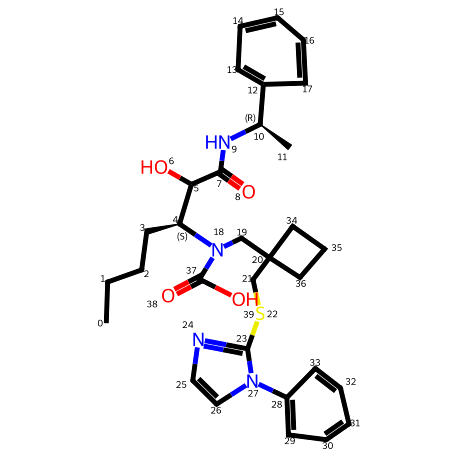 CCCC[C@@H](C(O)C(=O)N[C@H](C)c1ccccc1)N(CC1(CSc2nccn2-c2ccccc2)CCC1)C(=O)O